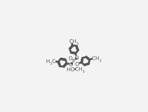 CO.Cc1ccc(OP(=O)(Oc2ccc(C)cc2)Oc2ccc(C)cc2)cc1